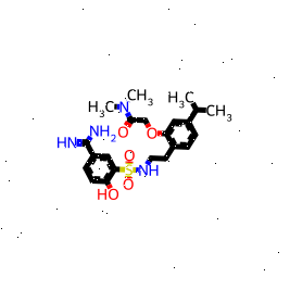 CC(C)c1ccc(CCNS(=O)(=O)c2cc(C(=N)N)ccc2O)c(OCC(=O)N(C)C)c1